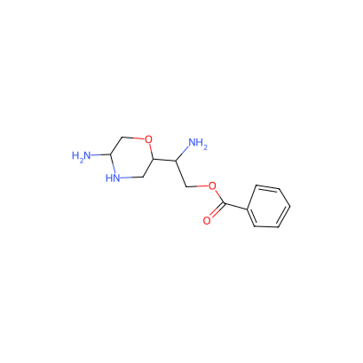 NC1COC(C(N)COC(=O)c2ccccc2)CN1